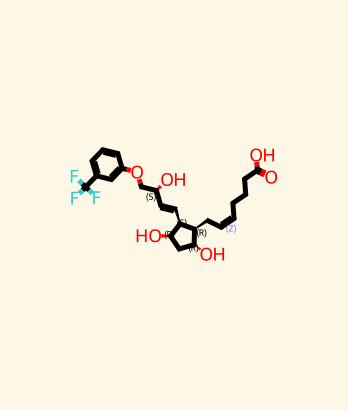 O=C(O)CCC/C=C\C[C@@H]1[C@H](C=C[C@H](O)COc2cccc(C(F)(F)F)c2)[C@H](O)C[C@H]1O